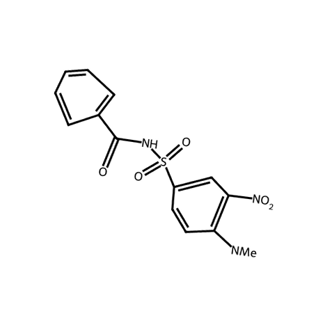 CNc1ccc(S(=O)(=O)NC(=O)c2ccccc2)cc1[N+](=O)[O-]